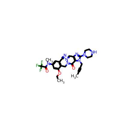 CC#CCn1c(N2CCNCC2)nc2cnn(Cc3c(C#N)cc(N(C)C(=O)C(F)(F)F)cc3OCC)c(=O)c21